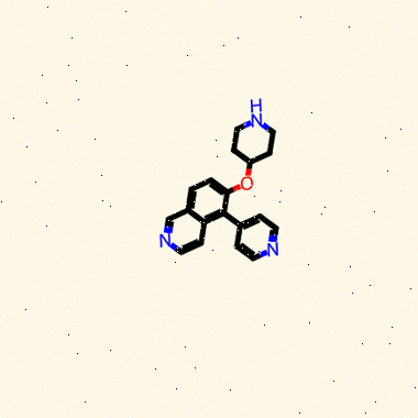 c1cc(-c2c(OC3CCNCC3)ccc3cnccc23)ccn1